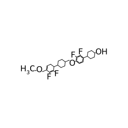 CCOCC1=CCC(C2CCC(COc3ccc(C4CCC(O)CC4)c(F)c3F)CC2)C(F)=C1F